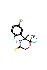 CC1(c2cc(Br)ccc2F)NC(=S)COC1(F)C(F)(F)F